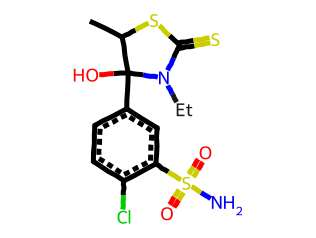 CCN1C(=S)SC(C)C1(O)c1ccc(Cl)c(S(N)(=O)=O)c1